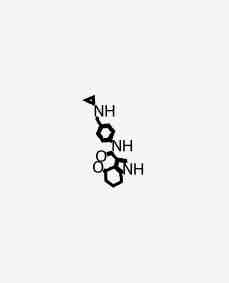 O=C(Nc1ccc(CNC2CC2)cc1)c1c[nH]c2c1C(=O)CCC2